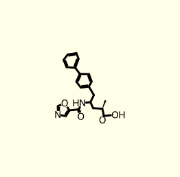 C[C@H](CC(Cc1ccc(-c2ccccc2)cc1)NC(=O)c1cnco1)C(=O)O